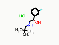 CC(C)(C)CNCC(O)c1cccc(F)c1.Cl